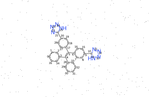 c1ccc(C(=C(c2ccc(-c3nnn[nH]3)cc2)c2ccc(-c3nnn[nH]3)cc2)c2ccccc2)cc1